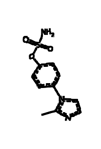 Cc1nccn1-c1ccc(OS(N)(=O)=O)cc1